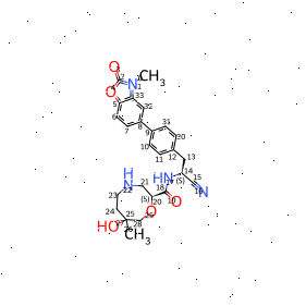 Cn1c(=O)oc2ccc(-c3ccc(C[C@@H](C#N)NC(=O)[C@@H]4CNCCC(C)(O)CO4)cc3)cc21